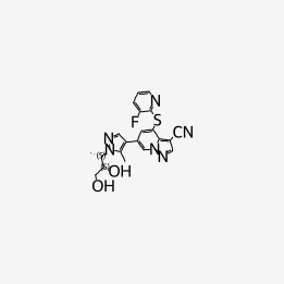 Cc1c(-c2cc(Sc3ncccc3F)c3c(C#N)cnn3c2)cnn1[C@@H](C)[C@H](O)CO